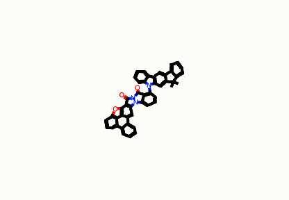 CC1(C)c2ccccc2-c2cc3c4ccccc4n(-c4cccc5c4c(=O)n4c(=O)c6c7oc8cccc9c%10ccccc%10c(cc6n54)c7c89)c3cc21